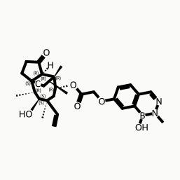 C=C[C@]1(C)C[C@@H](OC(=O)COc2ccc3c(c2)B(O)N(C)N=C3)[C@]2(C)[C@H](C)CC[C@]3(CCC(=O)[C@H]32)[C@@H](C)[C@@H]1O